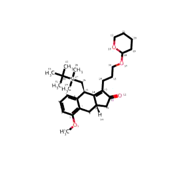 COc1cccc2c1C[C@H]1CC(=O)C(CCCOC3CCCCO3)=C1[C@@H]2C[Si](C)(C)C(C)(C)C